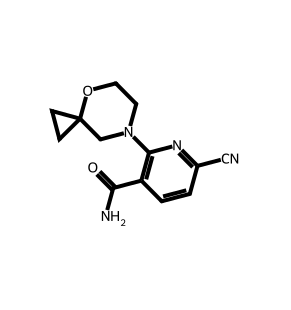 N#Cc1ccc(C(N)=O)c(N2CCOC3(CC3)C2)n1